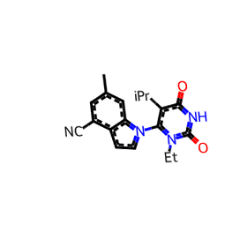 CCn1c(-n2ccc3c(C#N)cc(C)cc32)c(C(C)C)c(=O)[nH]c1=O